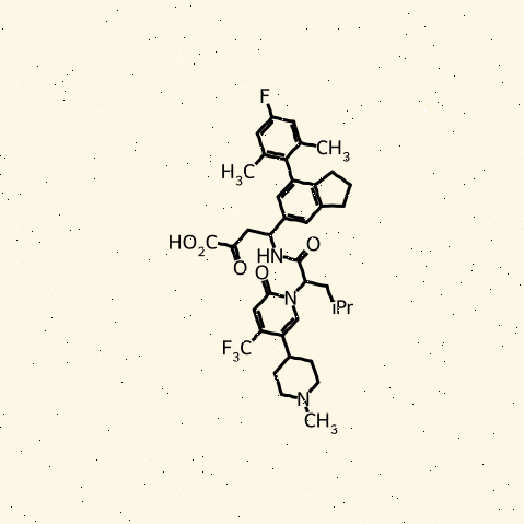 Cc1cc(F)cc(C)c1-c1cc(C(CC(=O)C(=O)O)NC(=O)C(CC(C)C)n2cc(C3CCN(C)CC3)c(C(F)(F)F)cc2=O)cc2c1CCC2